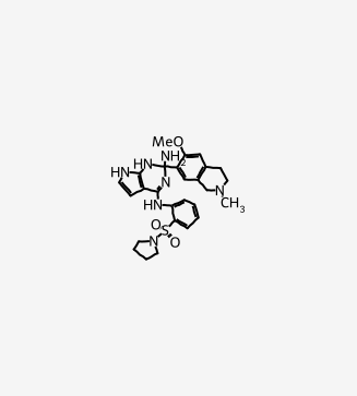 COc1cc2c(cc1C1(N)N=C(Nc3ccccc3S(=O)(=O)N3CCCC3)c3cc[nH]c3N1)CN(C)CC2